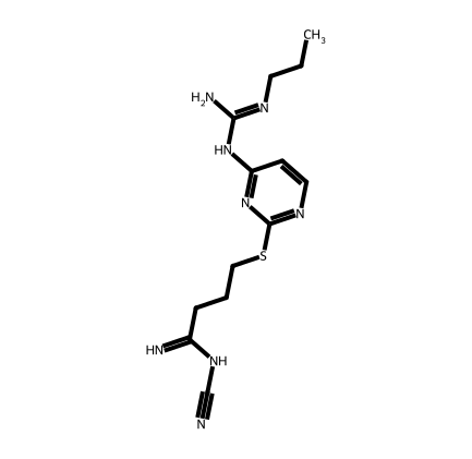 CCCN=C(N)Nc1ccnc(SCCCC(=N)NC#N)n1